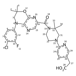 CC1(C)CN(c2ccc(Cl)c(F)c2)c2ncc(C(=O)N3CCN(c4ccc(CC(=O)O)cn4)CC3(C)C)nc2O1